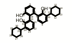 Oc1[c]ccc(-c2cccc(C3CCCCC3)c2O)c1-c1cccc(C2CCCCC2)c1O